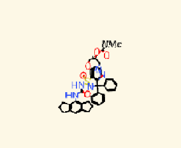 CNC(=O)O[C@@H]1COc2c(S(=O)(=NC(c3ccccc3)(c3ccccc3)c3ccccc3)NC(=O)Nc3c4c(cc5c3CCC5)CCC4)cnn2C1